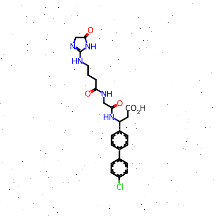 O=C(O)CC(NC(=O)CNC(=O)CCCNC1=NCC(=O)N1)c1ccc(-c2ccc(Cl)cc2)cc1